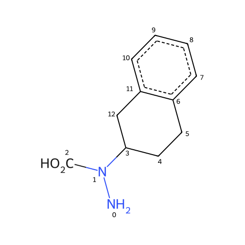 NN(C(=O)O)C1CCc2ccccc2C1